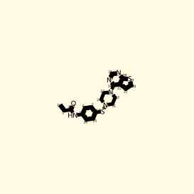 C=CC(=O)Nc1ccc(SN2CCN(c3ncnc4sccc34)CC2)cc1